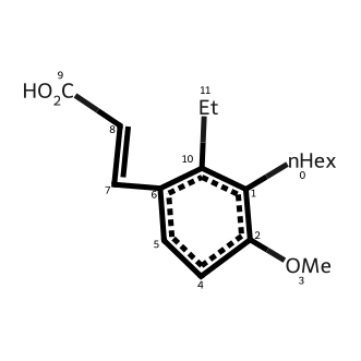 CCCCCCc1c(OC)ccc(C=CC(=O)O)c1CC